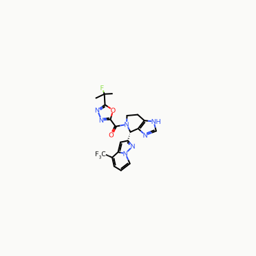 CC(C)(F)c1nnc(C(=O)N2CCc3[nH]cnc3[C@@H]2c2cc3c(C(F)(F)F)cccn3n2)o1